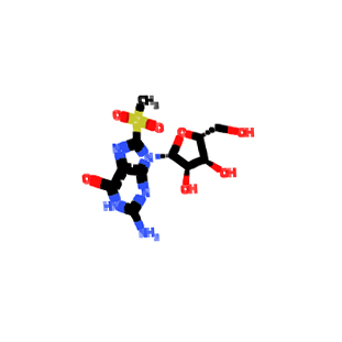 CS(=O)(=O)c1nc2c(=O)[nH]c(N)nc2n1[C@@H]1O[C@H](CO)[C@@H](O)[C@H]1O